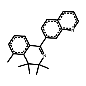 Cc1cccc2c1C(C)(C)C(C)(C)N=C2c1ccc2cccnc2c1